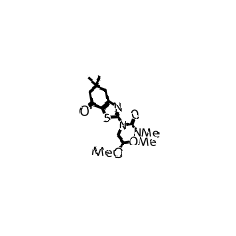 CNC(=O)N(CC(OC)OC)c1nc2c(s1)C(=O)CC(C)(C)C2